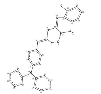 CCN1OC/C(=C\c2ccc(N(c3ccccc3)c3ccccc3)cc2)O/C1=N/c1ccccc1C